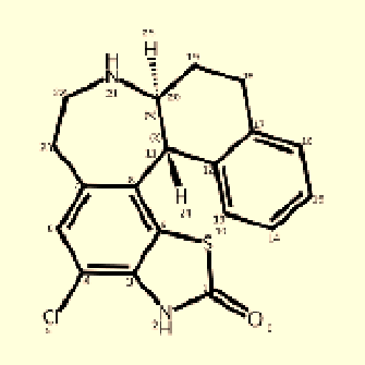 O=c1[nH]c2c(Cl)cc3c(c2s1)[C@H]1c2ccccc2CC[C@@H]1NCC3